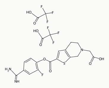 N=C(N)c1ccc(OC(=O)c2cc3c(s2)CN(CC(=O)O)CC3)c(F)c1.O=C(O)C(F)(F)F.O=C(O)C(F)(F)F